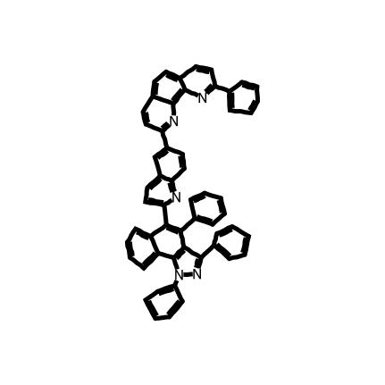 c1ccc(-c2ccc3ccc4ccc(-c5ccc6nc(-c7c(-c8ccccc8)c8c(-c9ccccc9)nn(-c9ccccc9)c8c8ccccc78)ccc6c5)nc4c3n2)cc1